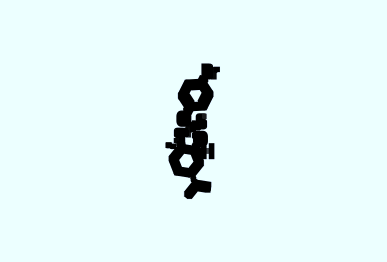 C=C(C)[C@@H]1CC[C@@]2(C)S[P@@](=S)(Oc3ccc(Br)cc3)O[C@H]2C1